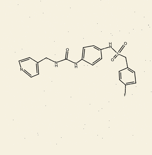 O=C(NCc1ccncc1)Nc1ccc(NS(=O)(=O)Cc2ccc(F)cc2)cc1